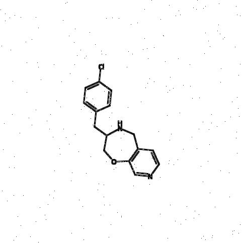 Clc1ccc(CC2COc3cnccc3CN2)cc1